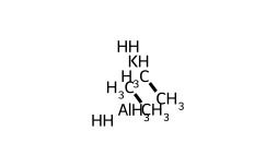 CC.CC.[AlH3].[HH].[HH].[KH]